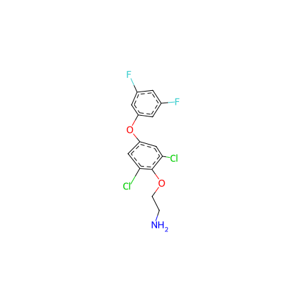 NCCOc1c(Cl)cc(Oc2cc(F)cc(F)c2)cc1Cl